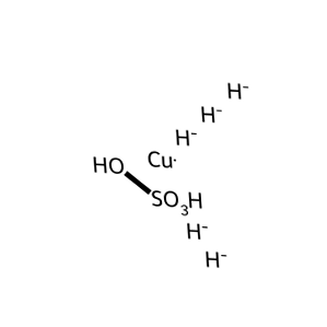 O=S(=O)(O)O.[Cu].[H-].[H-].[H-].[H-].[H-]